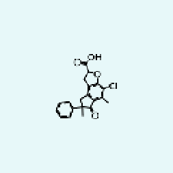 Cc1c(Cl)c2c(c3c1C(=O)C(C)(c1ccccc1)C3)CC(C(=O)O)O2